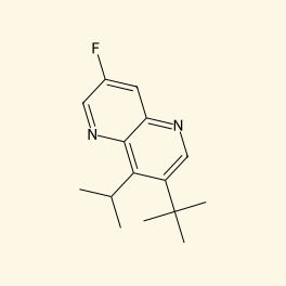 CC(C)c1c(C(C)(C)C)cnc2cc(F)cnc12